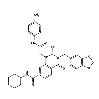 Cc1ccc(NC(=O)CN2c3cc(C(=O)NC4CCCCC4)ccc3C(=O)N(Cc3ccc4c(c3)OCO4)C2O)cc1